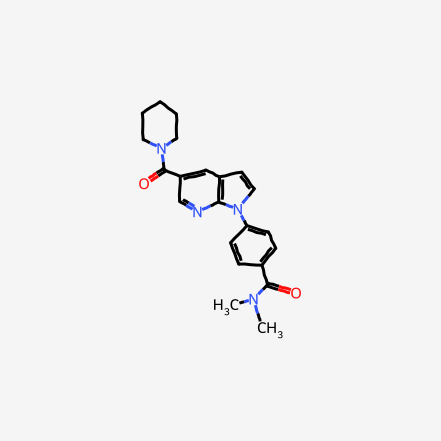 CN(C)C(=O)c1ccc(-n2ccc3cc(C(=O)N4CCCCC4)cnc32)cc1